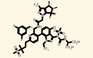 C[C@@H]1c2c(C(F)(F)F)nn(CC(=O)N[C@@H](Cc3cc(F)cc(F)c3)c3nc(CCC(C)(C)S(C)(=O)=O)ccc3-c3ccc(Cl)c4c(N(C(=O)NC(C(=O)O)C(=O)O)S(C)(=O)=O)nn(CC(F)(F)F)c34)c2C(F)(F)[C@@H]1C